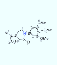 CCC1CC(=C(C#N)C(=O)O)CCN1c1cc(OC)c(OC)c(OC)c1